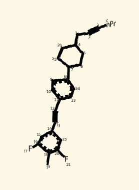 CCCC#CCC1CCC(c2ccc(C#Cc3cc(F)c(C)c(F)c3)cc2)CC1